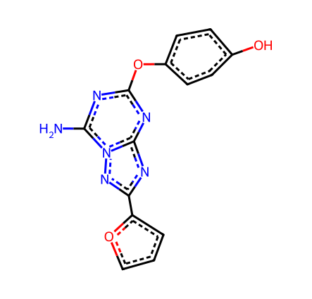 Nc1nc(Oc2ccc(O)cc2)nc2nc(-c3ccco3)nn12